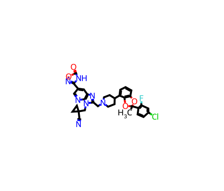 CC1(c2ccc(Cl)cc2F)Oc2cccc(C3CCN(Cc4nc5cc(-c6noc(=O)[nH]6)cnc5n4CC4(C#N)CC4)CC3)c2O1